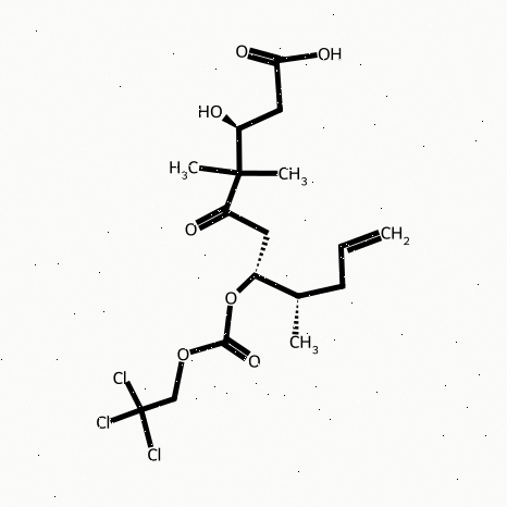 C=CC[C@H](C)[C@@H](CC(=O)C(C)(C)[C@@H](O)CC(=O)O)OC(=O)OCC(Cl)(Cl)Cl